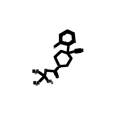 CC(C)(C)OC(=O)N1CCC(C#N)(c2ncccc2I)CC1